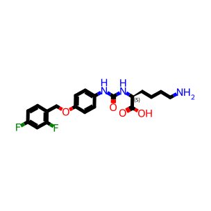 NCCCC[C@H](NC(=O)Nc1ccc(OCc2ccc(F)cc2F)cc1)C(=O)O